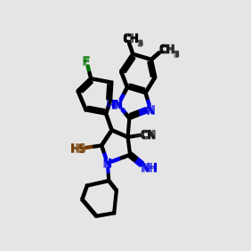 Cc1cc2nc(C3(C#N)C(=N)N(C4CCCCC4)C(S)C3c3ccc(F)cc3)[nH]c2cc1C